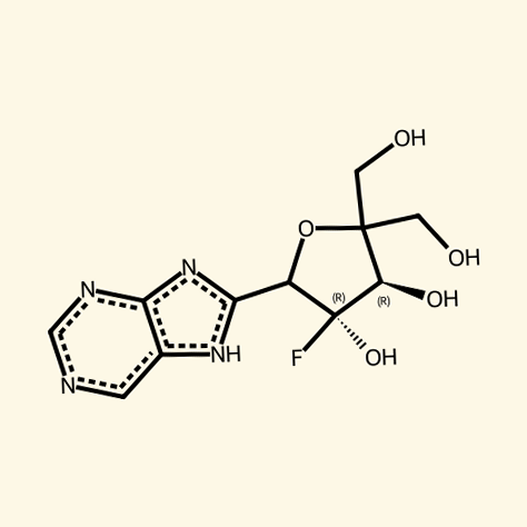 OCC1(CO)OC(c2nc3ncncc3[nH]2)[C@](O)(F)[C@@H]1O